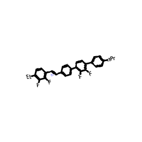 CCCc1ccc(-c2ccc(-c3ccc(/C=C/c4ccc(CC)c(F)c4F)cc3)c(F)c2F)cc1